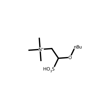 CCCCOC(C[N+](C)(C)C)S(=O)(=O)O